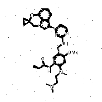 C=CC(=O)Nc1cc(CNc2nccc(-c3cn4c5c(cccc35)OC3(CC3)C4)n2)c(OC)cc1N(C)CCN(C)C